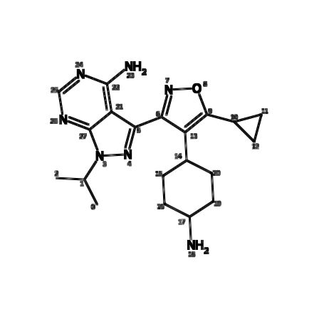 CC(C)n1nc(-c2noc(C3CC3)c2C2CCC(N)CC2)c2c(N)ncnc21